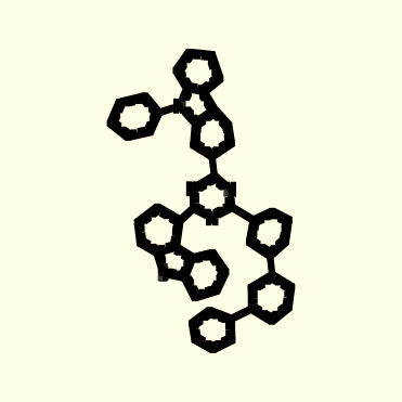 c1ccc(-c2cccc(-c3cccc(-c4nc(-c5ccc6c7ccccc7n(-c7ccccc7)c6c5)nc(-c5cccc6sc7ccccc7c56)n4)c3)c2)cc1